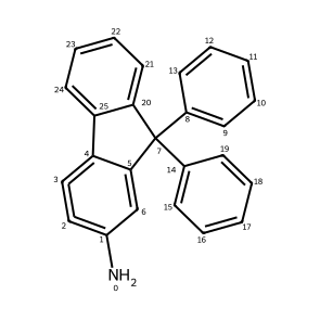 NC1=C=C=C2C(=C1)C(c1ccccc1)(c1ccccc1)c1ccccc12